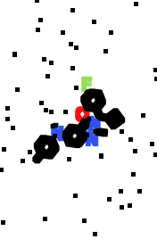 Cc1ccc(N(C)c2ccc3nc(C)n(C(c4ccc(F)cc4)C4CCC4)c(=O)c3c2)cc1